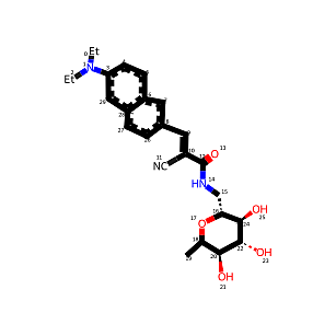 CCN(CC)c1ccc2cc(/C=C(\C#N)C(=O)NC[C@H]3OC(C)[C@H](O)[C@@H](O)[C@@H]3O)ccc2c1